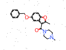 Cc1oc2ccc(OCc3ccccc3)cc2c1C(=O)N1CCN(C)CC1